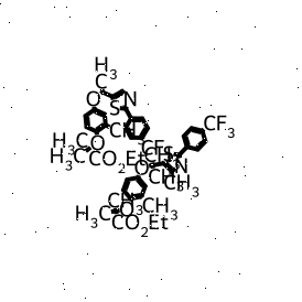 CCOC(=O)C(C)(C)Oc1ccc(OC(C)(C)c2sc(-c3ccc(C(F)(F)F)cc3)nc2C)cc1C.CCOC(=O)C(C)(C)Oc1ccc(OC(C)c2cnc(-c3ccc(C(F)(F)F)cc3)s2)cc1C